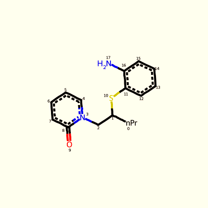 CCCC(Cn1ccccc1=O)Sc1ccccc1N